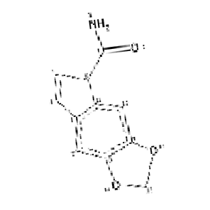 NC(=O)C1C=Cc2cc3c(cc21)OCO3